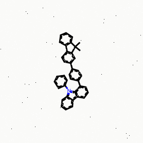 CC1(C)c2ccccc2-c2ccc(-c3ccc(-c4cccc5c6ccccc6n(-c6ccccc6)c45)cc3)cc21